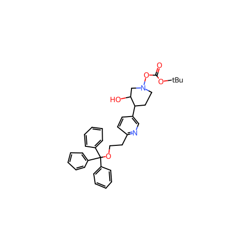 CC(C)(C)OC(=O)ON1CCC(c2ccc(CCOC(c3ccccc3)(c3ccccc3)c3ccccc3)nc2)C(O)C1